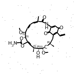 C=CC1=C2C[C@@H](C)C[C@H](OC)[C@H](O)[C@@H](C)C=C(C)[C@H](OC(N)=O)[C@@H](OC)C=CC=C(C)C(=O)NC(=CC1=O)C2=O